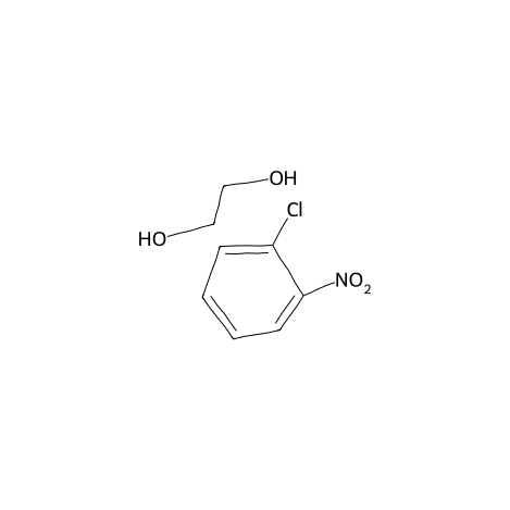 O=[N+]([O-])c1ccccc1Cl.OCCO